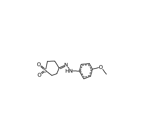 COc1ccc(NN=C2CCS(=O)(=O)CC2)cc1